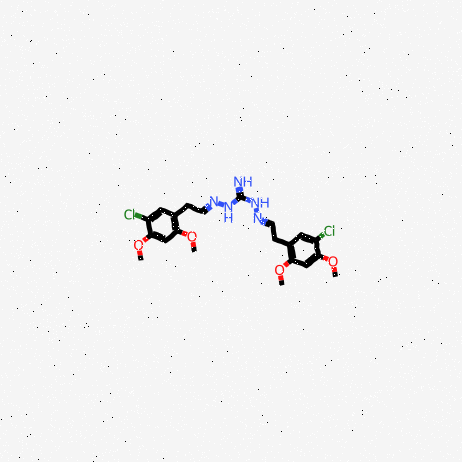 COc1cc(OC)c(C/C=N/NC(=N)N/N=C/Cc2cc(Cl)c(OC)cc2OC)cc1Cl